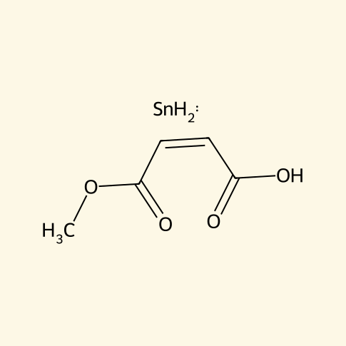 COC(=O)/C=C\C(=O)O.[SnH2]